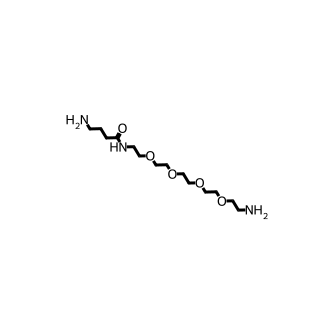 NCCCC(=O)NCCOCCOCCOCCOCCN